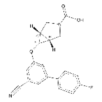 N#Cc1cc(O[C@@H]2[C@@H]3CN(C(=O)O)C[C@@H]32)nc(-c2ccc(F)cc2)c1